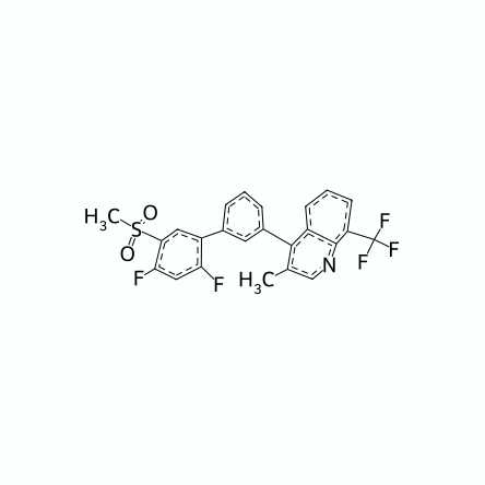 Cc1cnc2c(C(F)(F)F)cccc2c1-c1cccc(-c2cc(S(C)(=O)=O)c(F)cc2F)c1